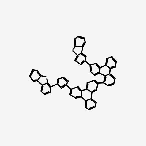 c1cc(-c2ccc3c4ccccc4c4cc(-c5cccc6c7ccccc7c7cc(-c8ccc9sc%10ccccc%10c9c8)ccc7c56)ccc4c3c2)cc(-c2cccc3c2sc2ccccc23)c1